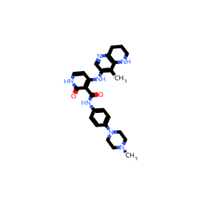 Cc1c(Nc2cc[nH]c(=O)c2C(=O)Nc2ccc(N3CCN(C)CC3)cc2)cnc2c1NCCC2